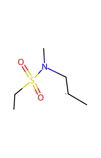 C[CH]CN(C)S(=O)(=O)CC